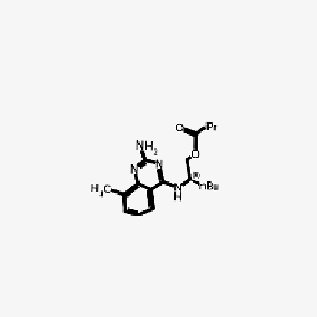 CCCC[C@H](COC(=O)C(C)C)Nc1nc(N)nc2c(C)cccc12